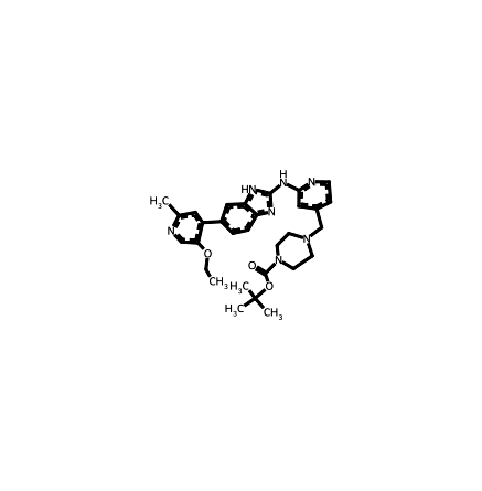 CCOc1cnc(C)cc1-c1ccc2nc(Nc3cc(CN4CCN(C(=O)OC(C)(C)C)CC4)ccn3)[nH]c2c1